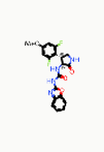 COc1cc(F)c([C@@H]2CNC(=O)[C@H]2NC(=O)Nc2nc3ccccc3o2)c(F)c1